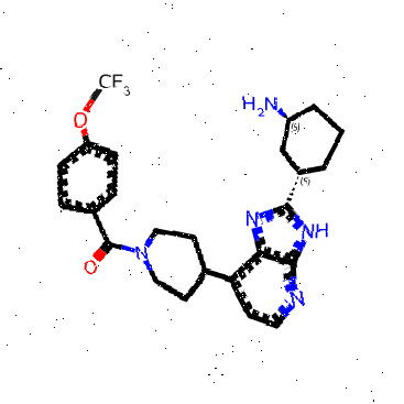 N[C@H]1CCC[C@H](c2nc3c(C4CCN(C(=O)c5ccc(OC(F)(F)F)cc5)CC4)ccnc3[nH]2)C1